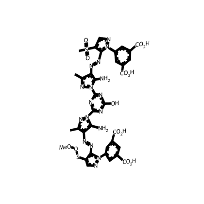 COOSc1cnn(-c2cc(C(=O)O)cc(C(=O)O)c2)c1N=Nc1c(C)nn(-c2nc(O)nc(-n3nc(C)c(N=Nc4c(S(C)(=O)=O)cnn4-c4cc(C(=O)O)cc(C(=O)O)c4)c3N)n2)c1N